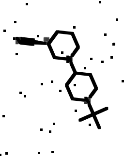 CC(C)(C)N1CCC(N2CCC[C@H](C#N)C2)CC1